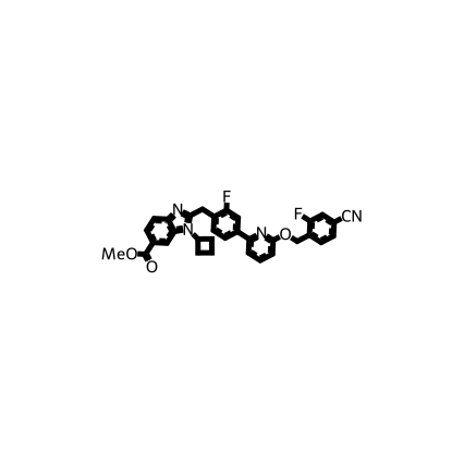 COC(=O)c1ccc2nc(Cc3ccc(-c4cccc(OCc5ccc(C#N)cc5F)n4)cc3F)n(C3CCC3)c2c1